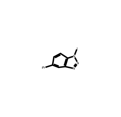 CC(C)c1ccc2c(c1)nnn2I